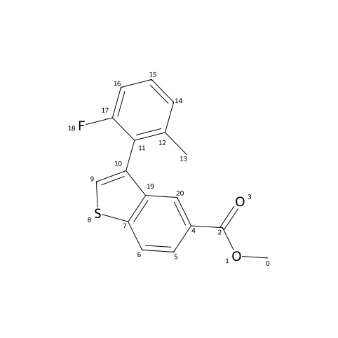 COC(=O)c1ccc2scc(-c3c(C)cccc3F)c2c1